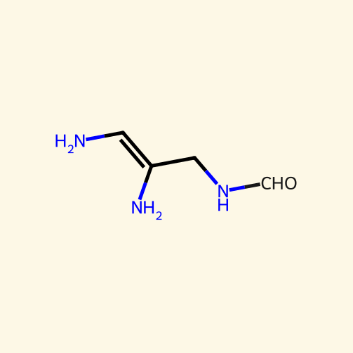 N/C=C(\N)CNC=O